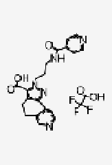 O=C(NCCCn1nc2c(c1C(=O)O)CCc1cnccc1-2)c1ccncc1.O=C(O)C(F)(F)F